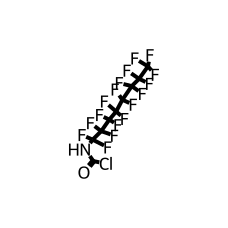 O=C(Cl)NC(F)(F)C(F)(F)C(F)(F)C(F)(F)C(F)(F)C(F)(F)C(F)(F)C(F)(F)F